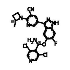 C[C@H]1CCN1c1ncc(-c2n[nH]c3cc(F)c(O[C@H](N)c4c(Cl)cncc4Cl)cc23)cc1C#N